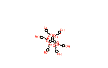 O=C(C=Cc1ccc(O)cc1)Oc1cc2c3cc(OC(=O)C=Cc4ccc(O)cc4)c(OC(=O)C=Cc4ccc(O)cc4)cc3c3cc(OC(=O)C=Cc4ccc(O)cc4)c(OC(=O)C=Cc4ccc(O)cc4)cc3c2cc1OC(=O)C=Cc1ccc(O)cc1